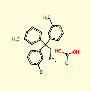 Cc1cccc(C(CP)(c2cccc(C)c2)c2cccc(C)c2)c1.OB(O)O